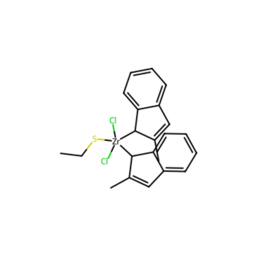 CC[S][Zr]([Cl])([Cl])([CH]1C(C)=Cc2ccccc21)[CH]1C(C)=Cc2ccccc21